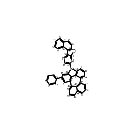 c1ccc(-c2cc3c4c5c(cccc5n(-c5cnc6c(n5)oc5ccc7ccccc7c56)c4c2)-c2cccc4cccc-3c24)cc1